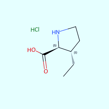 CC[C@H]1CCN[C@@H]1C(=O)O.Cl